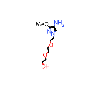 COc1nn(CCOCCOCCO)cc1N